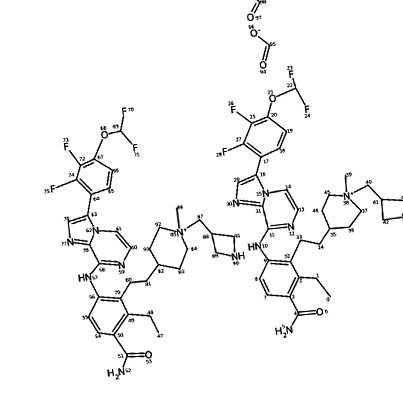 CCc1c(C(N)=O)ccc(Nc2nccn3c(-c4ccc(OC(F)F)c(F)c4F)cnc23)c1CCC1CC[N+](C)(CC2CNC2)CC1.CCc1c(C(N)=O)ccc(Nc2nccn3c(-c4ccc(OC(F)F)c(F)c4F)cnc23)c1CCC1CC[N+](C)(CC2CNC2)CC1.O=C[O-].O=C[O-]